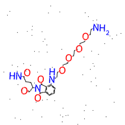 CNC(=O)CCC(C=O)N1C(=O)c2cccc(NCCOCCOCCOCCOCCN)c2C1=O